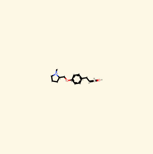 CN1CCCC1COc1ccc(CC=C=O)cc1